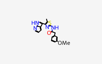 COc1cccc(CC(=O)Nc2nc(-c3c[nH]c4ncccc34)c(C)s2)c1